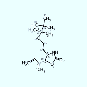 C=CC(C)[C@H]1OC(=O)N[C@@H]1CCO[Si](C)(C)C(C)(C)C